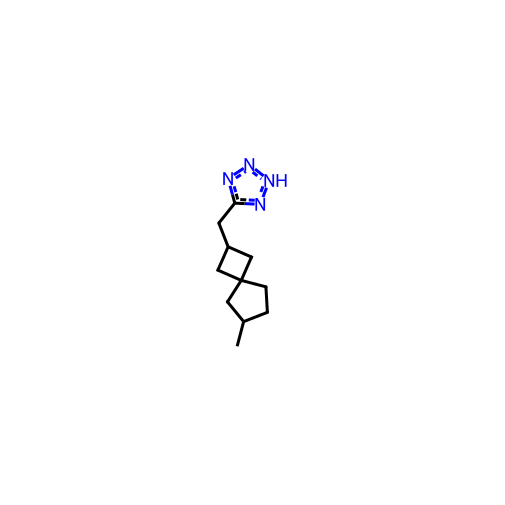 CC1CCC2(C1)CC(Cc1nn[nH]n1)C2